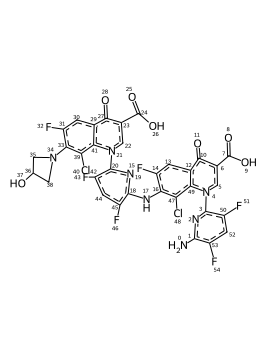 Nc1nc(-n2cc(C(=O)O)c(=O)c3cc(F)c(Nc4nc(-n5cc(C(=O)O)c(=O)c6cc(F)c(N7CC(O)C7)c(Cl)c65)c(F)cc4F)c(Cl)c32)c(F)cc1F